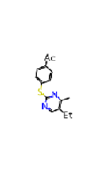 CCc1cnc(Sc2ccc(C(C)=O)cc2)nc1C